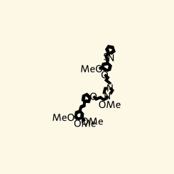 COc1cc(-c2nc3ccccc3s2)ccc1OCCCN1CCN(CC(CCOc2cccc(C=Cc3cc(OC)c(OC)c(OC)c3)c2)OC)CC1